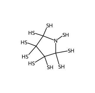 SN1C(S)(S)C(S)(S)C(S)(S)C1(S)S